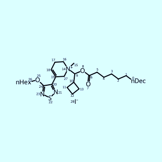 CCCCCCCCCCCCCCCC(=O)OC(C1CCC1)[N+]1(C)CCC=C(c2nsnc2OCCCCCC)C1.[I-]